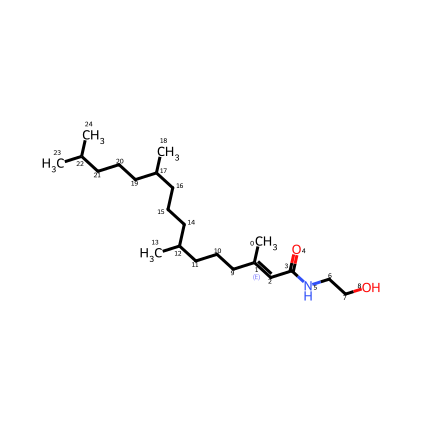 C/C(=C\C(=O)NCCO)CCCC(C)CCCC(C)CCCC(C)C